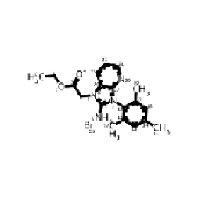 CCOC(=O)C[n+]1c(N)n(-c2c(C)cc(C)cc2C)c2ncccc21.[Br-]